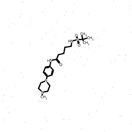 CN1CCN(c2ccc(NC(=O)CCCCNS(=O)(=O)C(C)(C)C)cc2)CC1